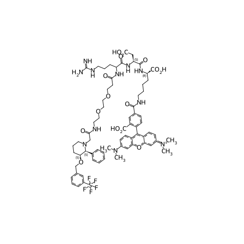 CN(C)c1ccc2c(-c3ccc(C(=O)NCCCC[C@@H](NC(=O)[C@H](CC(=O)O)NC(=O)C(CCCNC(=N)N)NC(=O)CCOCCOCCNC(=O)CN4CCC[C@H](OCc5cccc(S(F)(F)(F)(F)F)c5)[C@@H]4c4ccccc4)C(=O)O)cc3C(=O)O)c3ccc(=[N+](C)C)cc-3oc2c1